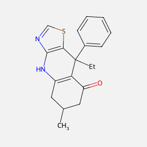 CCC1(c2ccccc2)C2=C(CC(C)CC2=O)Nc2ncsc21